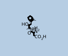 C[C@@H](NC(=O)[C@@H](N)CC(=O)O)[C@H](O)C[C@H]1C2CCC(C2)[C@@H]1C